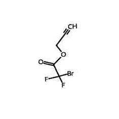 C#CCOC(=O)C(F)(F)Br